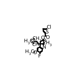 COc1cc2c(cc1F)N=C(C)C2(CC[Si](C)(C)C)CC(=O)OC(=O)c1ccc(Cl)s1